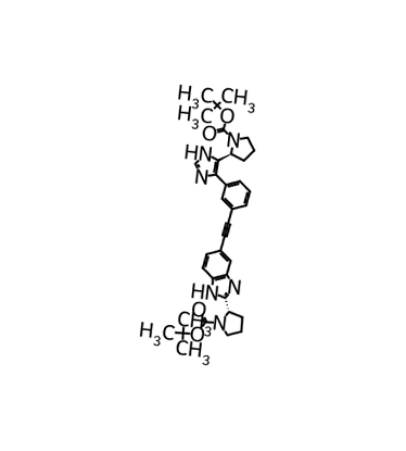 CC(C)(C)OC(=O)N1CCC[C@H]1c1nc2cc(C#Cc3cccc(-c4nc[nH]c4[C@@H]4CCCN4C(=O)OC(C)(C)C)c3)ccc2[nH]1